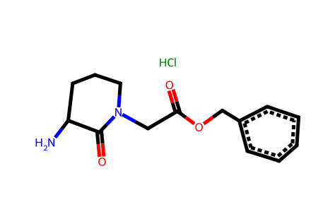 Cl.NC1CCCN(CC(=O)OCc2ccccc2)C1=O